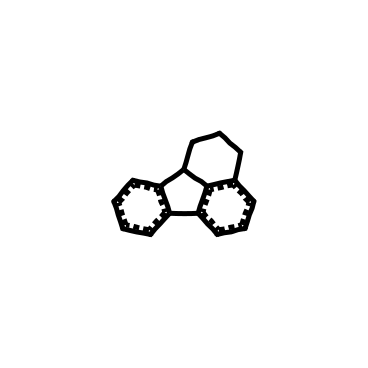 c1ccc2c(c1)-c1cccc3c1C2CCC3